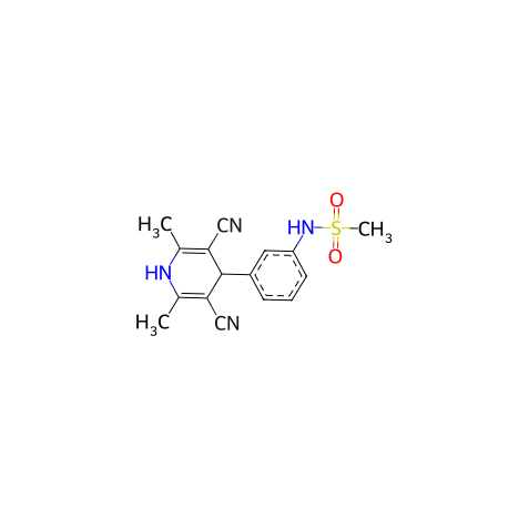 CC1=C(C#N)C(c2cccc(NS(C)(=O)=O)c2)C(C#N)=C(C)N1